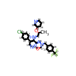 CC(CNC1=C(c2ccc(Cl)cc2)C=NN2OCN(Cc3ccc(C(F)(F)F)cc3)N=C12)Oc1cccnc1